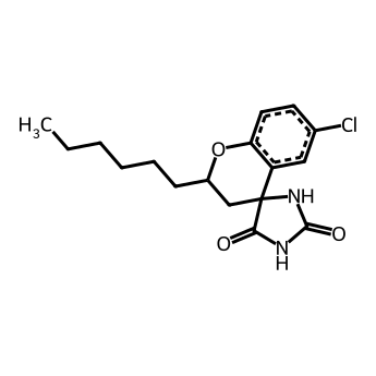 CCCCCCC1CC2(NC(=O)NC2=O)c2cc(Cl)ccc2O1